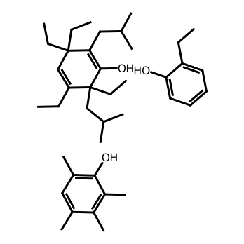 CCC1=CC(CC)(CC)C(CC(C)C)=C(O)C1(CC)CC(C)C.CCc1ccccc1O.Cc1cc(C)c(O)c(C)c1C